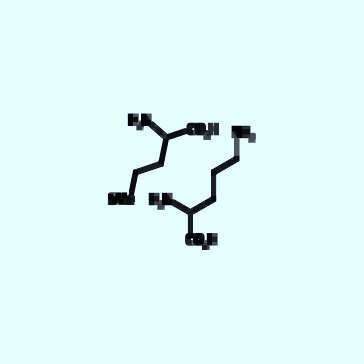 CSCCC(N)C(=O)O.NCCCC(N)C(=O)O